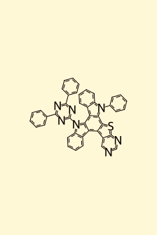 c1ccc(-c2nc(-c3ccccc3)nc(-n3c4ccccc4c4c5c6cncnc6sc5c5c(c6ccccc6n5-c5ccccc5)c43)n2)cc1